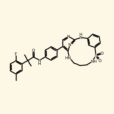 Cc1ccc(F)c(C(C)(C)C(=O)Nc2ccc(-c3cnc4nc3NCCCNS(=O)(=O)c3cccc(c3)N4)cc2)c1